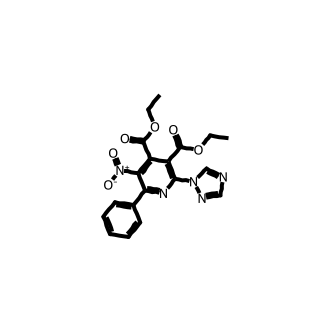 CCOC(=O)c1c(-n2cncn2)nc(-c2ccccc2)c([N+](=O)[O-])c1C(=O)OCC